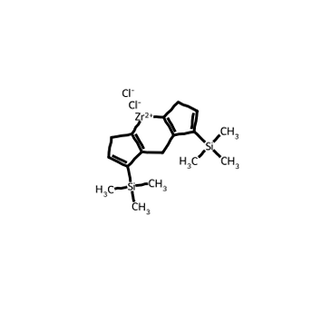 C[Si](C)(C)C1=CC[C]2=C1CC1=[C](CC=C1[Si](C)(C)C)[Zr+2]2.[Cl-].[Cl-]